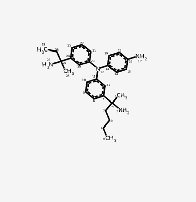 CCCCC(C)(N)c1cccc(N(c2ccc(N)cc2)c2cccc(C(C)(N)CC)c2)c1